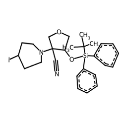 CC(C)(C)[Si](OC1COCC1(C#N)N1CCC(I)CC1)(c1ccccc1)c1ccccc1